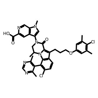 Cc1cc(OCCCc2c3n(c4c(-c5c(C)ncnc5C)c(Cl)ccc24)C(C)CN(c2cn(C)c4cnc(C(=O)O)cc24)C3=O)cc(C)c1Cl